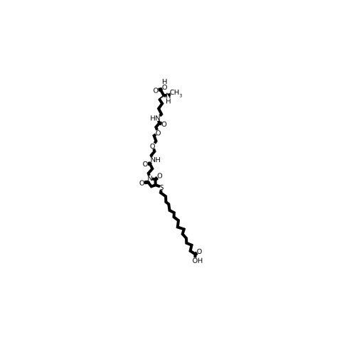 CN[C@@H](CCCCNC(=O)COCCOCCNC(=O)CCN1C(=O)CC(SCCCCCCCCCCCCCCCC(=O)O)C1=O)C(=O)O